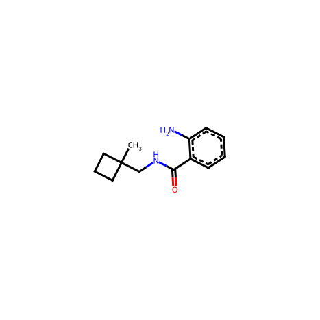 CC1(CNC(=O)c2ccccc2N)CCC1